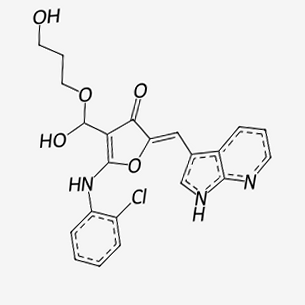 O=C1C(C(O)OCCCO)=C(Nc2ccccc2Cl)O/C1=C\c1c[nH]c2ncccc12